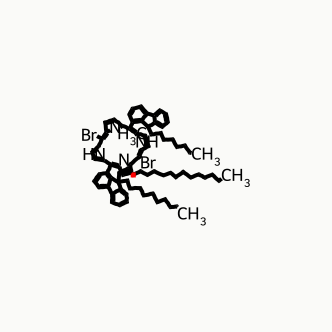 CCCCCCCCCCCCCCCCC1(CCCCCCCCCC)c2ccccc2-c2cccc(-c3c4nc(c(Br)c5ccc([nH]5)c(-c5cccc6c5C(C)(CCCCCCCC)c5ccccc5-6)c5nc(c(Br)c6ccc3[nH]6)C=C5)C=C4)c21